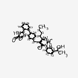 CCCCc1nc(C)n(-c2cccc(C(C)O)c2)c(=O)c1Cc1ccc(-c2ccccc2-c2noc(=O)[nH]2)cc1